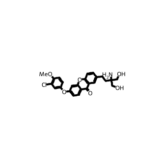 COc1ccc(Oc2ccc3c(=O)c4cc(CCC(N)(CO)CO)ccc4oc3c2)cc1Cl